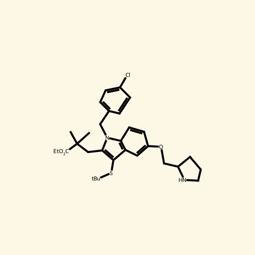 CCOC(=O)C(C)(C)Cc1c(SC(C)(C)C)c2cc(OCC3CCCN3)ccc2n1Cc1ccc(Cl)cc1